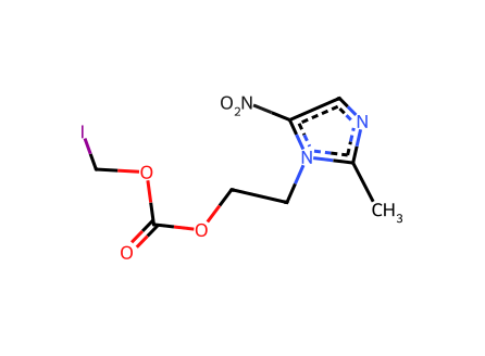 Cc1ncc([N+](=O)[O-])n1CCOC(=O)OCI